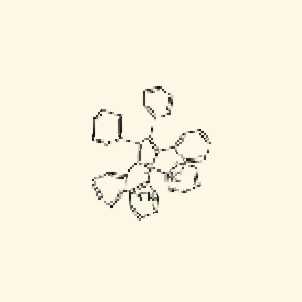 N#Cc1ccccc1C1=C(c2ccccc2)C(c2ccccc2)=C(c2ccccc2C#N)[Si]1(c1ccccc1)c1ccccc1